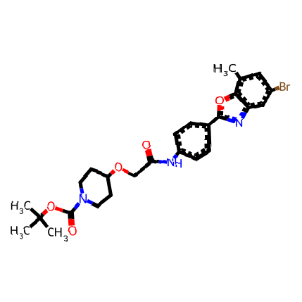 Cc1cc(Br)cc2nc(-c3ccc(NC(=O)COC4CCN(C(=O)OC(C)(C)C)CC4)cc3)oc12